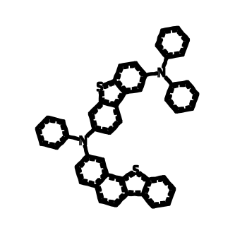 c1ccc(N(c2ccccc2)c2ccc3sc4cc(N(c5ccccc5)c5ccc6ccc7c8ccccc8sc7c6c5)ccc4c3c2)cc1